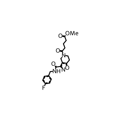 COC(=O)CCCC(=O)N1CCc2onc(C(=O)NCc3ccc(F)cc3)c2C1